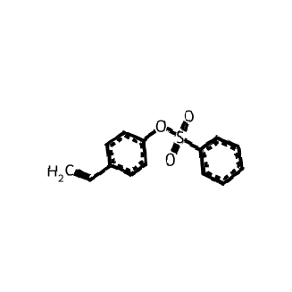 C=Cc1ccc(OS(=O)(=O)c2ccccc2)cc1